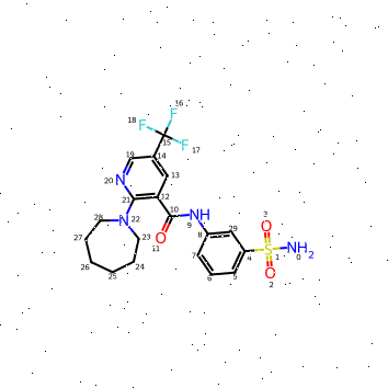 NS(=O)(=O)c1cccc(NC(=O)c2cc(C(F)(F)F)cnc2N2CCCCCC2)c1